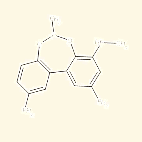 CPc1cc(P)cc2c1op(C)oc1ccc(P)cc12